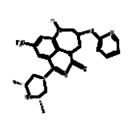 C[C@@H]1CN(c2nc(=O)n3c4c(cc(C(F)(F)F)cc24)[SH](Cl)CC(Oc2ncccn2)C3)C[C@H](C)N1